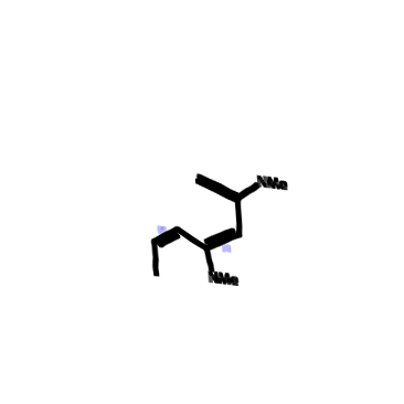 C=C(/C=C(\C=C/C)NC)NC